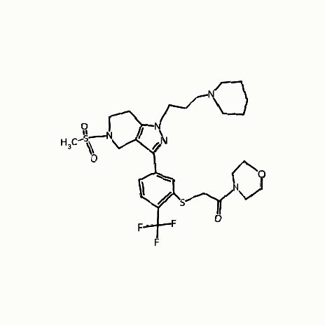 CS(=O)(=O)N1CCc2c(c(-c3ccc(C(F)(F)F)c(SCC(=O)N4CCOCC4)c3)nn2CCCN2CCCCC2)C1